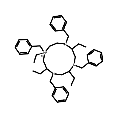 CCC1CN(Cc2ccccc2)C(CC)CN(Cc2ccccc2)C(CC)C[N@+](CC)(Cc2ccccc2)CCN1Cc1ccccc1